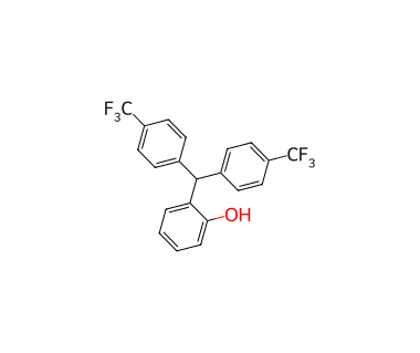 Oc1ccccc1C(c1ccc(C(F)(F)F)cc1)c1ccc(C(F)(F)F)cc1